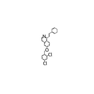 Clc1ccc(COc2ccc3c(C=CC4=CCCC=C4)nccc3c2)c(Cl)c1